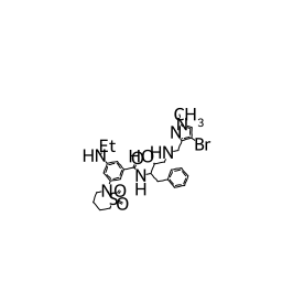 CCNc1cc(C(=O)NC(Cc2ccccc2)[C@H](O)CNCc2nn(C)cc2Br)cc(N2CCCCS2(=O)=O)c1